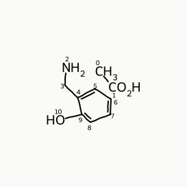 CC(=O)O.NCc1ccccc1O